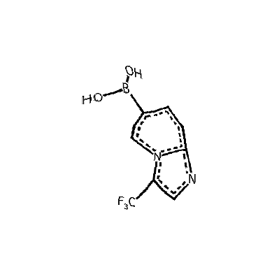 OB(O)c1ccc2ncc(C(F)(F)F)n2c1